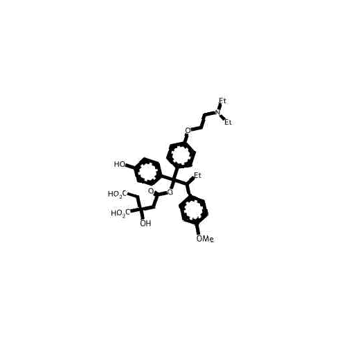 CCC(c1ccc(OC)cc1)C(OC(=O)CC(O)(CC(=O)O)C(=O)O)(c1ccc(O)cc1)c1ccc(OCCN(CC)CC)cc1